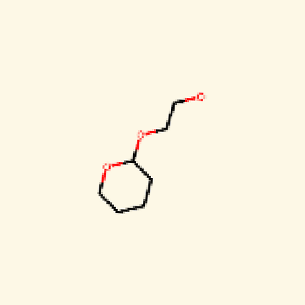 [O]CCOC1CCCCO1